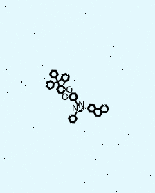 c1ccc(-c2cc(-c3ccc4c(ccc5ccccc54)c3)nc(-c3ccc4c(c3)Oc3ccc5c(c3O4)-c3ccccc3C5(c3ccccc3)c3ccccc3)n2)cc1